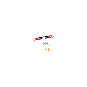 N.O=C=O.P